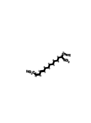 CCCCCC(CCCCCCCC=C/C=C\C(=O)O)[N+](=O)[O-]